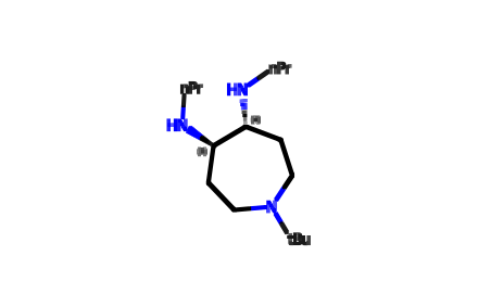 CCCN[C@@H]1CCN(C(C)(C)C)CC[C@H]1NCCC